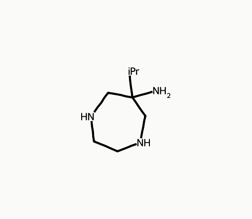 CC(C)C1(N)CNCCNC1